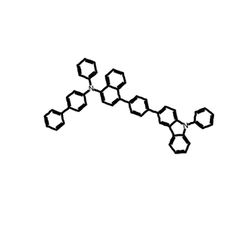 c1ccc(-c2ccc(N(c3ccccc3)c3ccc(-c4ccc(-c5ccc6c(c5)c5ccccc5n6-c5ccccc5)cc4)c4ccccc34)cc2)cc1